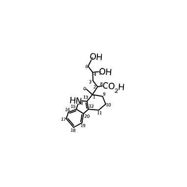 CC1(C(CC(O)CO)C(=O)O)CCCc2c1[nH]c1ccccc21